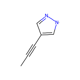 CC#CC1=C[N]N=C1